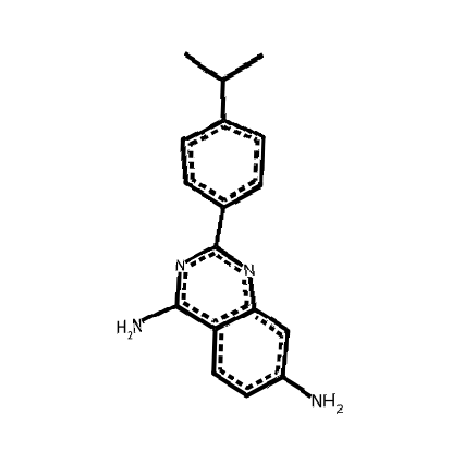 CC(C)c1ccc(-c2nc(N)c3ccc(N)cc3n2)cc1